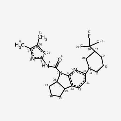 Cc1nc(NC(=O)N2c3nc(N4CCCC(C(F)(F)F)C4)ccc3C3CCCC32)sc1C